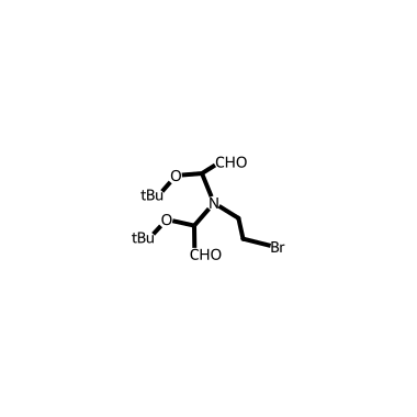 CC(C)(C)OC(C=O)N(CCBr)C(C=O)OC(C)(C)C